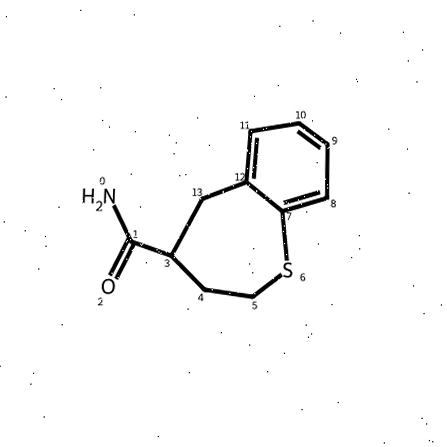 NC(=O)C1CCSc2ccccc2C1